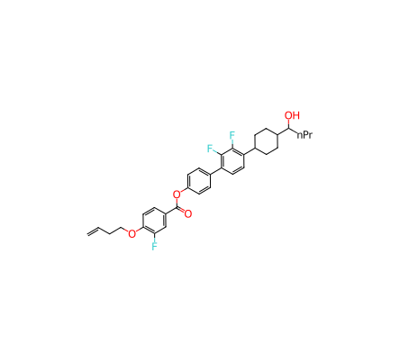 C=CCCOc1ccc(C(=O)Oc2ccc(-c3ccc(C4CCC(C(O)CCC)CC4)c(F)c3F)cc2)cc1F